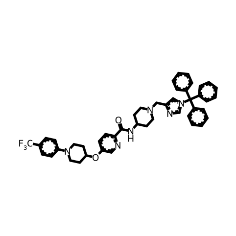 O=C(NC1CCN(Cc2cn(C(c3ccccc3)(c3ccccc3)c3ccccc3)cn2)CC1)c1ccc(OC2CCN(c3ccc(C(F)(F)F)cc3)CC2)cn1